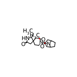 CCOC(=O)N1C2CCC1CC(N1CCC3(CC1)CC(=O)NC3CC)C2